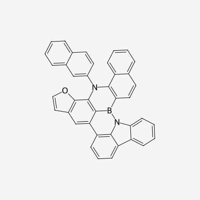 c1ccc2cc(N3c4c(ccc5ccccc45)B4c5c(cc6ccoc6c53)-c3cccc5c6ccccc6n4c35)ccc2c1